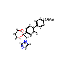 COc1ccc(-c2ccc(C3(Cn4ccnc4)OCCCO3)cc2C)cc1